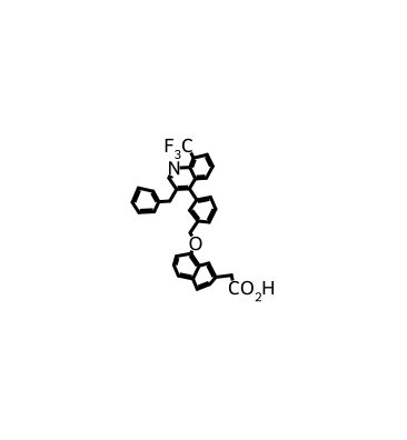 O=C(O)Cc1ccc2cccc(OCc3cccc(-c4c(Cc5ccccc5)cnc5c(C(F)(F)F)cccc45)c3)c2c1